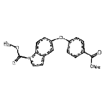 COC(=O)c1ccc(Oc2ccc3c(ccn3C(=O)OC(C)(C)C)c2)cc1